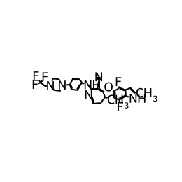 Cc1cc2c(F)c(O/C3=C(C#N)/C(Nc4ccc(N5CCN(CC(F)(F)F)CC5)cc4)=N\C=C\CC3C)cc(F)c2[nH]1